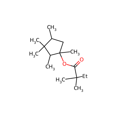 CCC(C)(C)C(=O)OC1(C)CC(C)C(C)(C)C1C